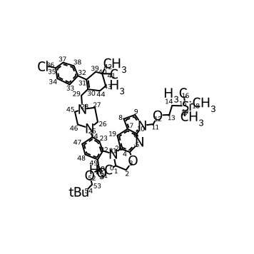 CC1COc2nc3c(ccn3COCC[Si](C)(C)C)cc2N1c1cc(N2CCN(CC3=C(c4ccc(Cl)cc4)CC(C)(C)CC3)CC2)ccc1C(=O)OCC(C)(C)C